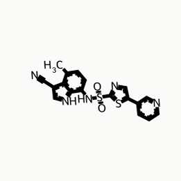 Cc1ccc(NS(=O)(=O)c2ncc(-c3cccnc3)s2)c2[nH]cc(C#N)c12